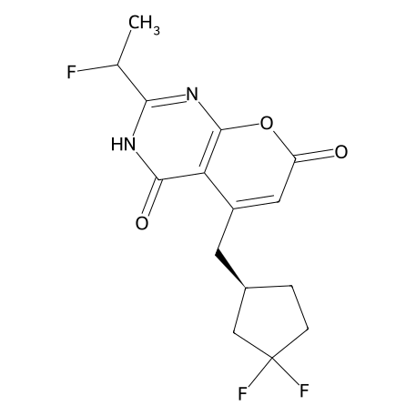 CC(F)c1nc2oc(=O)cc(C[C@H]3CCC(F)(F)C3)c2c(=O)[nH]1